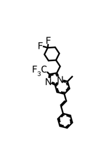 Cc1cc(C=Cc2ccccc2)cc2nc(C(F)(F)F)c(CC3CCC(F)(F)CC3)n12